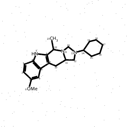 COc1ccc2[nH]c3c(c2c1)CC1CN(C2CCCCC2)CN1C3C